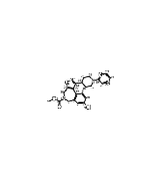 COC(=O)N1Cc2cc(Cl)ccc2-c2c(C3CCN(c4cnccn4)CC3)noc2C1